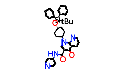 CC(C)(C)[Si](O[C@H]1CC[C@H](n2cc(C(=O)Nc3ccncc3)c(=O)c3cccnc32)CC1)(c1ccccc1)c1ccccc1